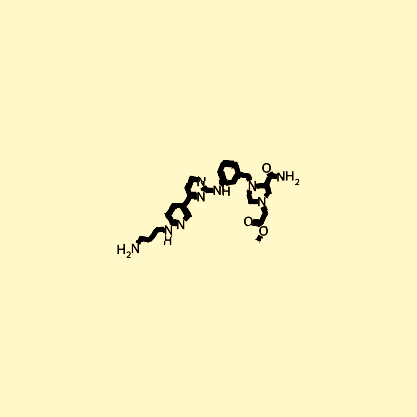 COC(=O)CN1CCN(Cc2cccc(Nc3nccc(-c4ccc(NCCCN)nc4)n3)c2)C(C(N)=O)C1